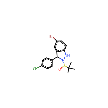 CC(C)(C)[S+]([O-])N1Nc2ccc(Br)cc2C1c1ccc(Cl)cc1